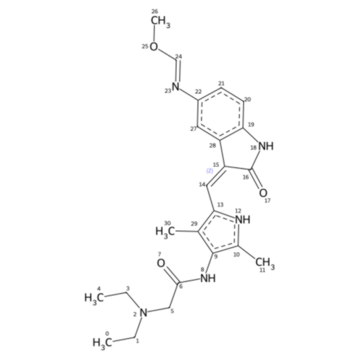 CCN(CC)CC(=O)Nc1c(C)[nH]c(/C=C2\C(=O)Nc3ccc(N=COC)cc32)c1C